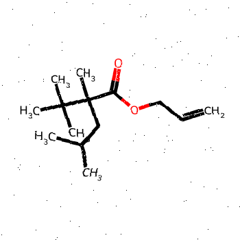 C=CCOC(=O)C(C)(CC(C)C)C(C)(C)C